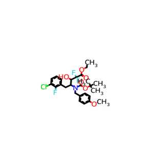 CCOC(=O)C(F)(F)C(O)C(Cc1cccc(Cl)c1F)N(Cc1ccc(OC)cc1)C(=O)OC(C)(C)C